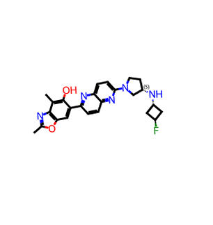 Cc1nc2c(C)c(O)c(-c3ccc4nc(N5CC[C@H](N[C@H]6C[C@H](F)C6)C5)ccc4n3)cc2o1